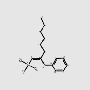 CCCCCC/C(=C/[Si](Cl)(Cl)Cl)Sc1ccccc1